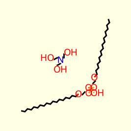 CCCCCCCCCCCCCCCCCCOCCOP(=O)(O)OCCOCCCCCCCCCCCCCCCCCC.OCCN(CCO)CCO